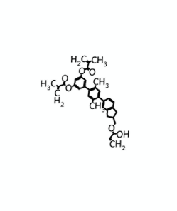 C=CC(O)OCC1Cc2ccc(-c3cc(C)c(-c4cc(OC(=O)C(=C)C)cc(OC(=O)C(=C)C)c4)cc3C)cc2C1